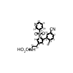 N#Cc1ccc(F)c(-c2cc(CCNC(=O)O)cn2S(=O)(=O)c2cccnc2)c1